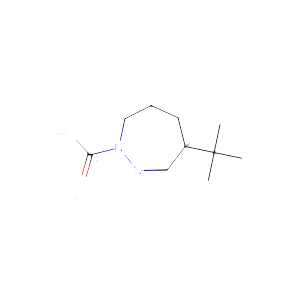 CC(C)(C)C1CCCN(C(=O)O)NC1